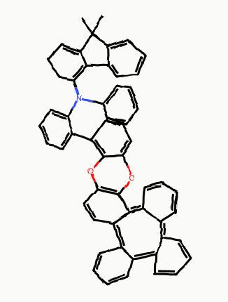 CC1(C)C2=CCCC(N(c3ccccc3)c3ccccc3-c3cccc4oc5c(ccc6c7ccccc7c7ccccc7c7ccccc7c65)oc34)=C2c2ccccc21